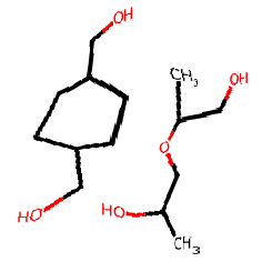 CC(O)COC(C)CO.OCC1CCC(CO)CC1